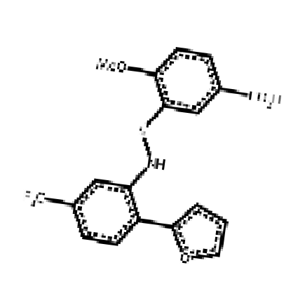 COc1ccc(C(=O)O)cc1SNc1cc(C(F)(F)F)ccc1-c1ccco1